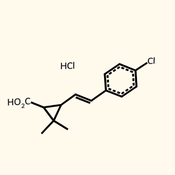 CC1(C)C(C=Cc2ccc(Cl)cc2)C1C(=O)O.Cl